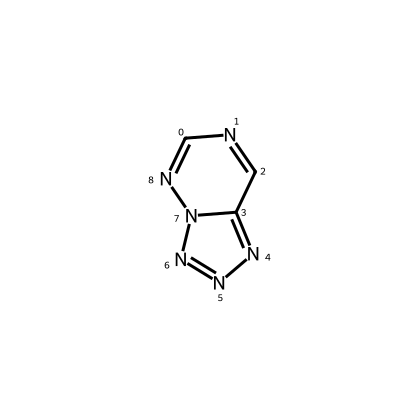 c1ncc2nnnn2n1